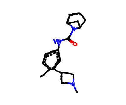 Cc1ccc(NC(=O)N2C3CCCC2C3)cc1C1CN(C)C1